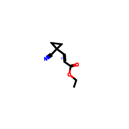 CCOC(=O)/C=C/C1(C#N)CC1